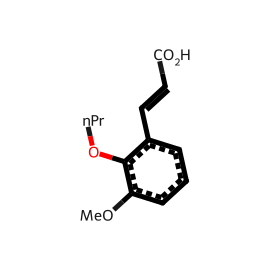 CCCOc1c(/C=C/C(=O)O)cccc1OC